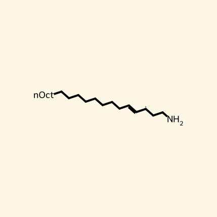 CCCCCCCCCCCCCCCCC=C[CH]CCN